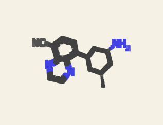 C[C@@H]1CC(c2ccc(C#N)c3nccnc23)C[C@H](N)C1